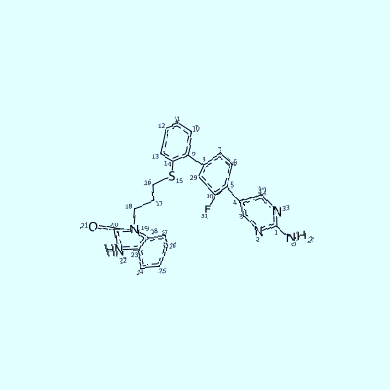 Nc1ncc(-c2ccc(-c3ccccc3SCCCn3c(=O)[nH]c4ccccc43)cc2F)cn1